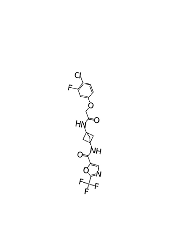 O=C(COc1ccc(Cl)c(F)c1)NC12CC(NC(=O)c3cnc(C(F)(F)F)o3)(C1)C2